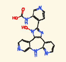 O=C(O)Nc1cnccc1-c1nc2c(n1O)-c1ccncc1Nc1ncccc1-2